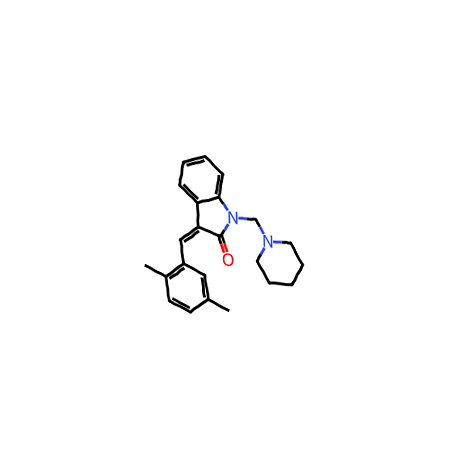 Cc1ccc(C)c(C=C2C(=O)N(CN3CCCCC3)c3ccccc32)c1